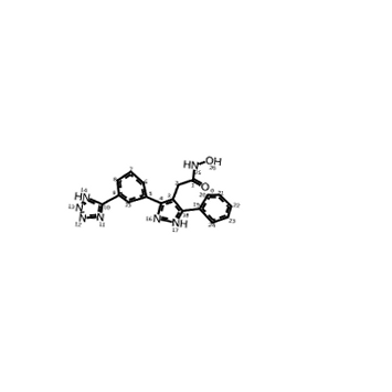 O=C(Cc1c(-c2cccc(-c3nnn[nH]3)c2)n[nH]c1-c1ccccc1)NO